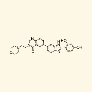 O=c1c2cc(-c3ccc4nc(-c5ccc(O)cc5O)[nH]c4c3)ccc2ncn1CCN1CCOCC1